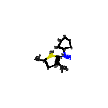 CC(=O)c1cc([N+](=O)[O-])c(NC2CCCCC2)s1